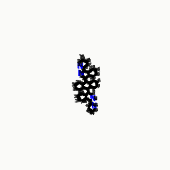 CN1C=C(c2c3ccccc3c(-c3cnc(-c4ccccn4)c4ccccc34)c3ccccc23)c2ccccc2C1c1ccccn1